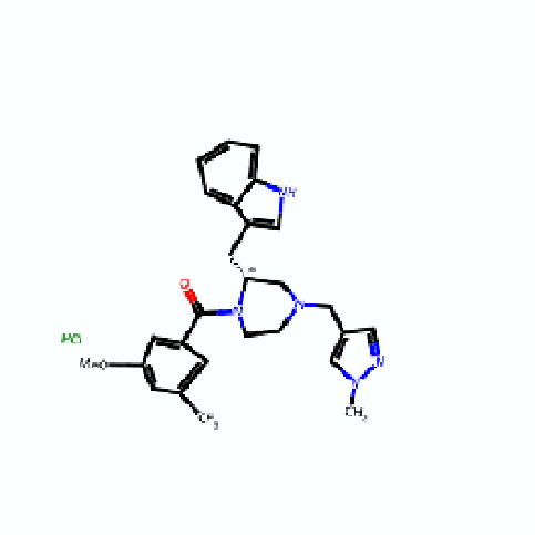 COc1cc(C(=O)N2CCN(Cc3cnn(C)c3)C[C@H]2Cc2c[nH]c3ccccc23)cc(C(F)(F)F)c1.Cl